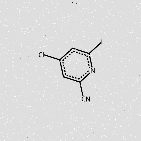 N#Cc1cc(Cl)cc(I)n1